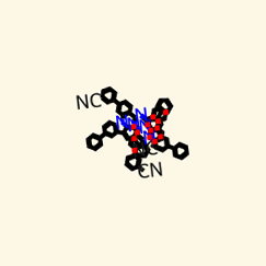 N#Cc1ccc(-c2ccccc2-c2nc(-c3ccc(-c4cccc(C#N)c4)cc3-n3c4ccc(-c5ccccc5)cc4c4cc(-c5ccccc5)ccc43)nc(-c3ccc(-c4cccc(C#N)c4)cc3-n3c4ccc(-c5ccccc5)cc4c4cc(-c5ccccc5)ccc43)n2)cc1